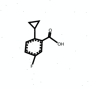 O=C(O)c1cc(F)ccc1C1CC1